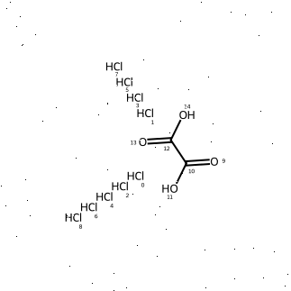 Cl.Cl.Cl.Cl.Cl.Cl.Cl.Cl.Cl.O=C(O)C(=O)O